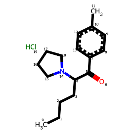 CCCCC(C(=O)c1ccc(C)cc1)N1CCCC1.Cl